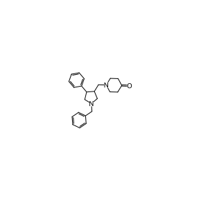 O=C1CCN(CC2CN(Cc3ccccc3)CC2c2ccccc2)CC1